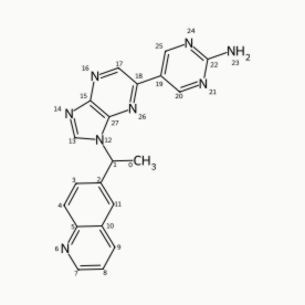 CC(c1ccc2ncccc2c1)n1cnc2ncc(-c3cnc(N)nc3)nc21